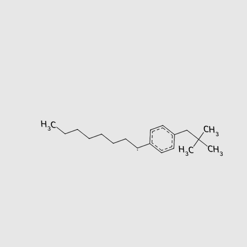 CCCCCCC[CH]c1ccc(CC(C)(C)C)cc1